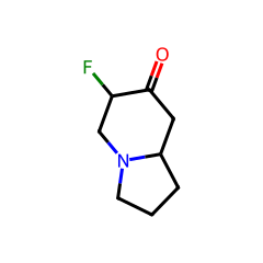 O=C1CC2CCCN2CC1F